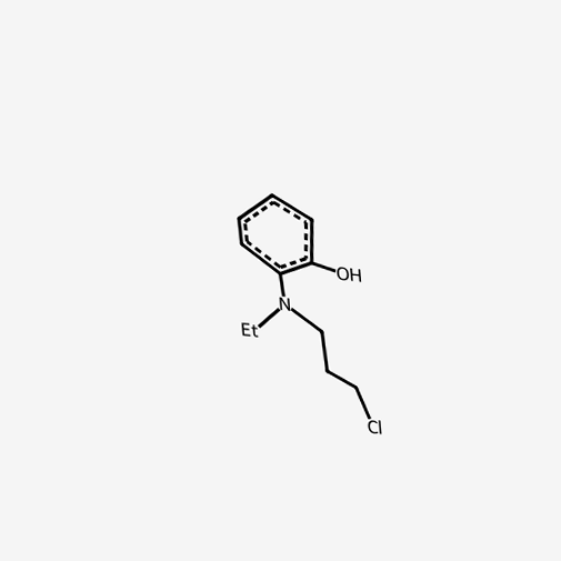 CCN(CCCCl)c1ccccc1O